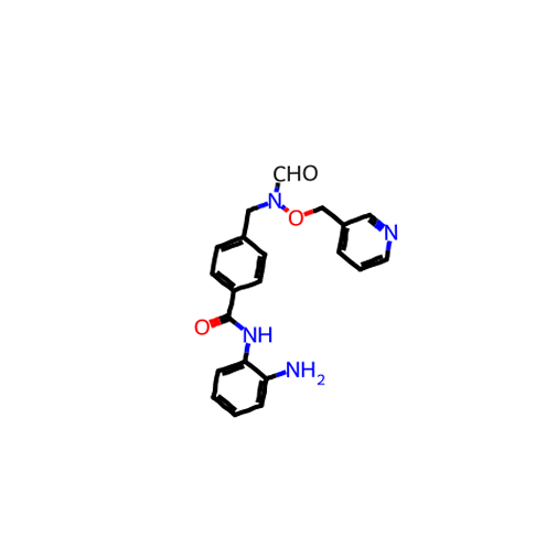 Nc1ccccc1NC(=O)c1ccc(CN(C=O)OCc2cccnc2)cc1